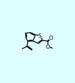 C=C(C)c1cccc2sc(C(=O)OC)cc12